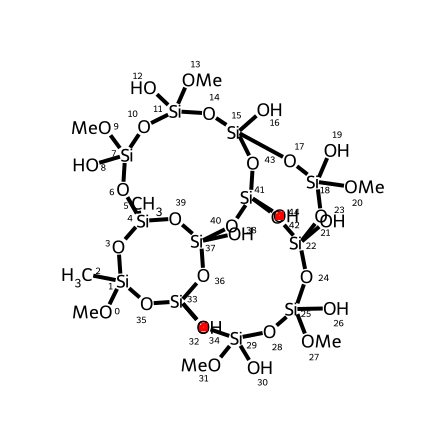 CO[Si]1(C)O[Si]2(C)O[Si](O)(OC)O[Si](O)(OC)O[Si]3(O)O[Si](O)(OC)O[Si]4(O)O[Si](O)(OC)O[Si](O)(OC)O[Si](O)(O1)O[Si](O)(O2)O[Si](O)(O3)O4